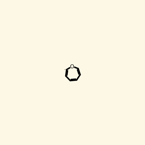 [C]1=CC=CC=CO1